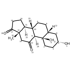 C[C@]12CC[C@@H](O)C[C@H]1CC[C@@H]1[C@@H]2C(=O)C[C@]2(C)C(=O)CC[C@@H]12